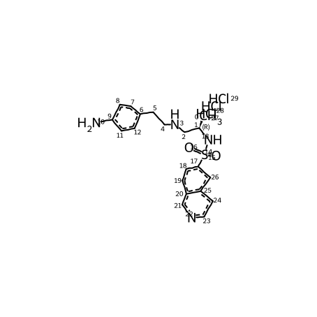 C[C@H](CNCCc1ccc(N)cc1)NS(=O)(=O)c1ccc2cnccc2c1.Cl.Cl.Cl